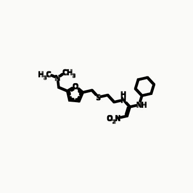 CN(C)Cc1ccc(CSCCNC(=C[N+](=O)[O-])NC2CCCCC2)o1